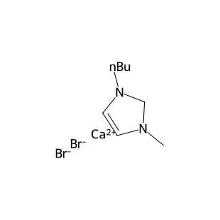 CCCCN1C=CN(C)C1.[Br-].[Br-].[Ca+2]